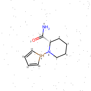 NC(=O)[C@@H]1CCCCN1[SH]1C=CC=C1